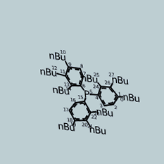 CCCCc1ccc(P(c2ccc(CCCC)c(CCCC)c2CCCC)c2ccc(CCCC)c(CCCC)c2CCCC)c(CCCC)c1CCCC